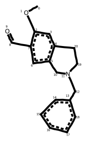 COc1cc2c(cc1C=O)CN(Cc1ccccc1)CC2